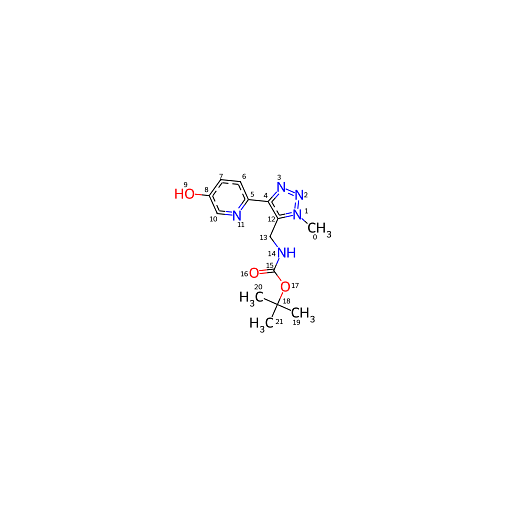 Cn1nnc(-c2ccc(O)cn2)c1CNC(=O)OC(C)(C)C